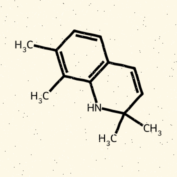 Cc1ccc2c(c1C)NC(C)(C)C=C2